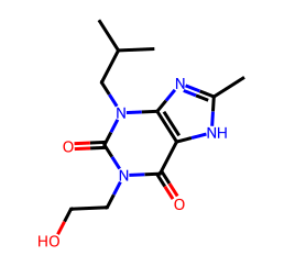 Cc1nc2c([nH]1)c(=O)n(CCO)c(=O)n2CC(C)C